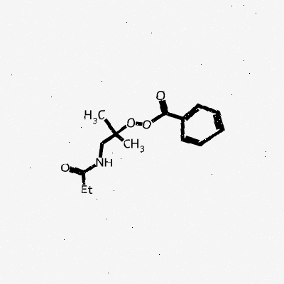 CCC(=O)NCC(C)(C)OOC(=O)c1ccccc1